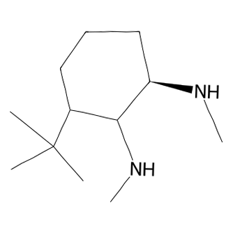 CNC1C(C(C)(C)C)CCC[C@H]1NC